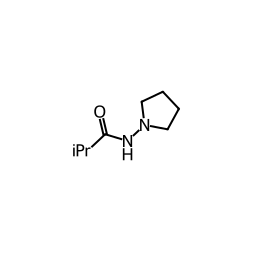 CC(C)C(=O)NN1CCCC1